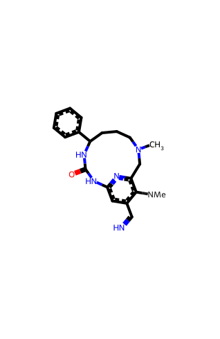 CNc1c(C=N)cc2nc1CN(C)CCCC(c1ccccc1)NC(=O)N2